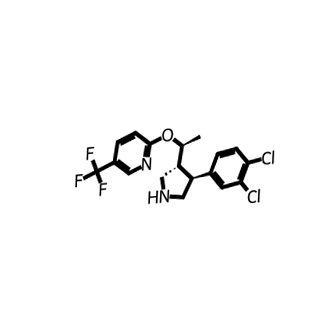 C[C@H](Oc1ccc(C(F)(F)F)cn1)[C@H]1CNC[C@@H]1c1ccc(Cl)c(Cl)c1